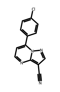 N#Cc1cnn2c(-c3ccc(Cl)cc3)ccnc12